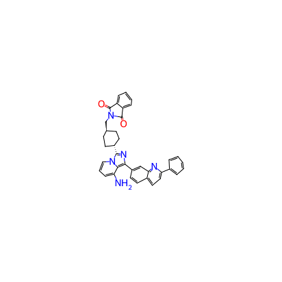 Nc1cccn2c1c(-c1ccc3ccc(-c4ccccc4)nc3c1)nc2[C@H]1CC[C@H](CN2C(=O)c3ccccc3C2=O)CC1